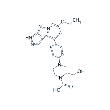 CCOc1cc(-c2ccc(N3CCN(C(=O)O)C(CO)C3)nc2)c2c3cn[nH]c3nn2c1